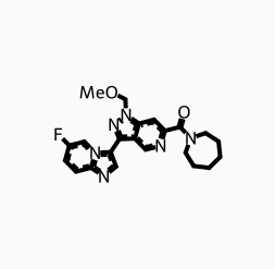 COCn1nc(-c2cnc3ccc(F)cn23)c2cnc(C(=O)N3CCCCCC3)cc21